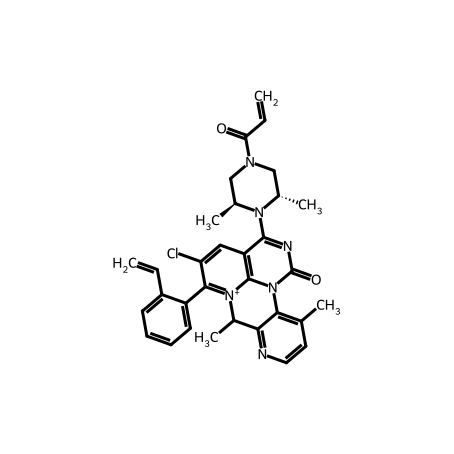 C=CC(=O)N1C[C@H](C)N(c2nc(=O)n3c4c2cc(Cl)c(-c2ccccc2C=C)[n+]4C(C)c2nccc(C)c2-3)[C@@H](C)C1